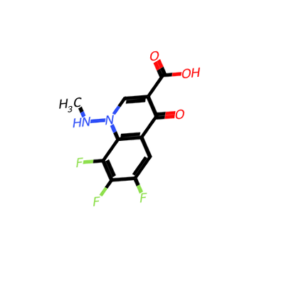 CNn1cc(C(=O)O)c(=O)c2cc(F)c(F)c(F)c21